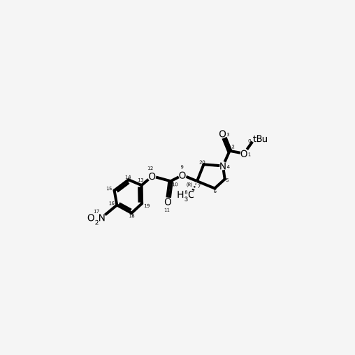 CC(C)(C)OC(=O)N1CC[C@@](C)(OC(=O)Oc2ccc([N+](=O)[O-])cc2)C1